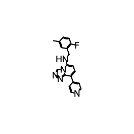 Cc1ccc(F)c(CNc2ccc(-c3ccncc3)c3nncn23)c1